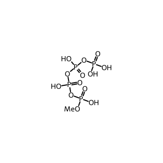 COP(=O)(O)OP(=O)(O)OP(=O)(O)OP(=O)(O)O